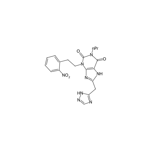 CCCn1c(=O)c2[nH]c(Cc3ncn[nH]3)nc2n(CCc2ccccc2[N+](=O)[O-])c1=O